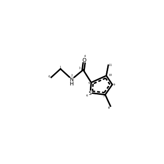 CCNC(=O)c1sc(C)cc1C